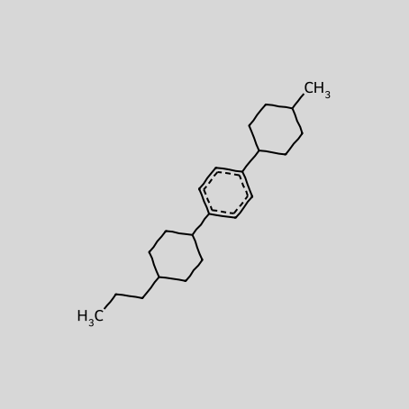 CCCC1CCC(c2ccc(C3CCC(C)CC3)cc2)CC1